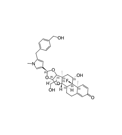 Cn1cc([C@@H]2O[C@@H]3C[C@H]4[C@@H]5CCC6=CC(=O)C=C[C@]6(C)[C@@]5(F)[C@@H](O)C[C@]4(C)[C@]3(C(=O)CO)O2)cc1Cc1ccc(CO)cc1